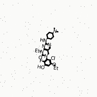 CCOc1cc(O)c(F)c(N2Cc3cnc(NC4CCC(N(C)C)CC4)nc3N(CC)C2=O)c1Cl